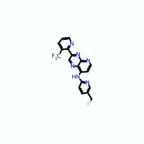 FCc1ccc(Nc2ccnc3nc(-c4ncccc4C(F)(F)F)cnc23)nc1